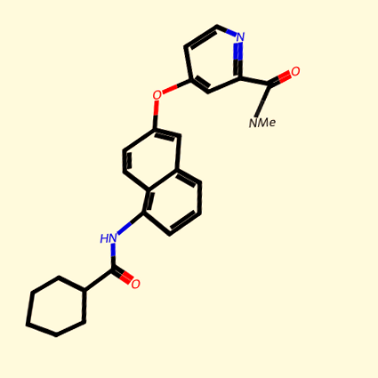 CNC(=O)c1cc(Oc2ccc3c(NC(=O)C4CCCCC4)cccc3c2)ccn1